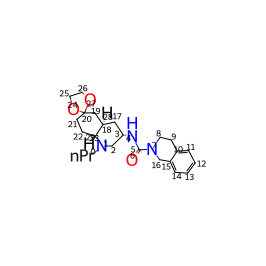 CCCN1C[C@@H](NC(=O)N2CCc3ccccc3C2)C[C@@H]2CC3(CC[C@H]21)OCCO3